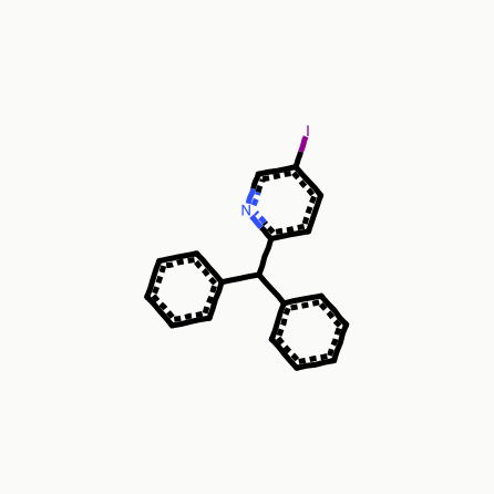 Ic1ccc(C(c2ccccc2)c2ccccc2)nc1